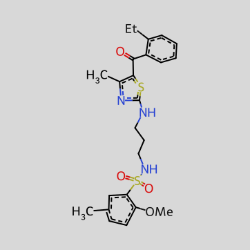 CCc1ccccc1C(=O)c1sc(NCCCNS(=O)(=O)c2cc(C)ccc2OC)nc1C